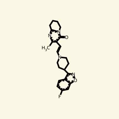 Cc1nc2n(c(=O)c1C=CN1CCC(c3noc4cc(F)ccc34)CC1)CCCC2